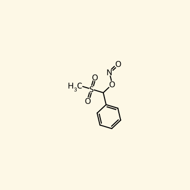 CS(=O)(=O)C(ON=O)c1ccccc1